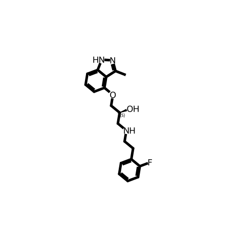 Cc1n[nH]c2cccc(OC[C@@H](O)CNCCc3ccccc3F)c12